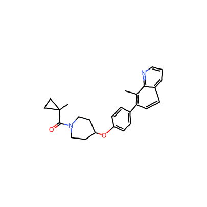 Cc1c(-c2ccc(OC3CCN(C(=O)C4(C)CC4)CC3)cc2)ccc2cccnc12